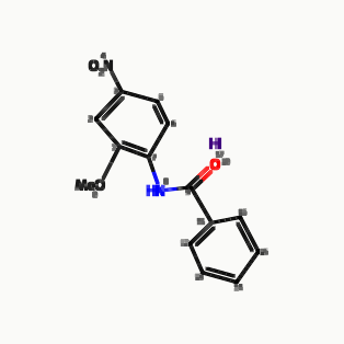 COc1cc([N+](=O)[O-])ccc1NC(=O)c1ccccc1.I